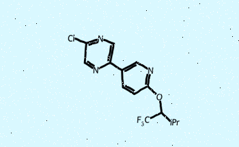 CC(C)C(Oc1ccc(-c2cnc(Cl)cn2)cn1)C(F)(F)F